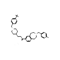 CCOC(=O)C(C)(C)c1ccc(CN2CCC(CCC(=O)c3ccc4c(c3)CCN(Cc3ccc(F)cc3)CC4)CC2)cc1.Cl.Cl